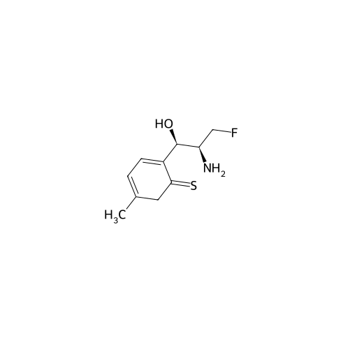 CC1=CC=C([C@@H](O)[C@H](N)CF)C(=S)C1